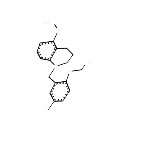 CC(C)(C)COc1ccc(Cl)cc1CN1CCCc2c(OC(=O)O)cccc21